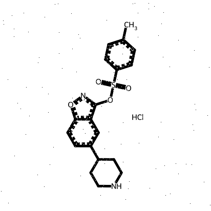 Cc1ccc(S(=O)(=O)Oc2noc3ccc(C4CCNCC4)cc23)cc1.Cl